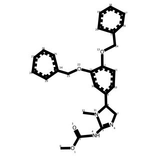 COC(=O)NC1=NCC(c2ccc(OCc3ccccc3)c(OCc3ccccc3)c2)N1C